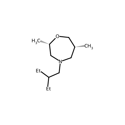 CCC(CC)CN1C[C@@H](C)CO[C@@H](C)C1